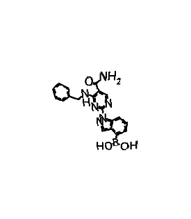 NC(=O)c1cnc(-n2ncc3c(B(O)O)cccc32)nc1NCc1ccccc1